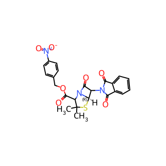 CC1(C)S[C@@H]2C(N3C(=O)c4ccccc4C3=O)C(=O)N2C1C(=O)OCc1ccc([N+](=O)[O-])cc1